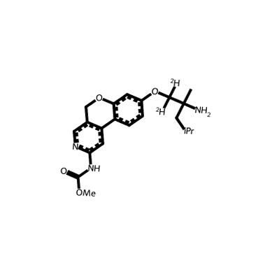 [2H]C([2H])(Oc1ccc2c(c1)OCc1cnc(NC(=O)OC)cc1-2)C(C)(N)CC(C)C